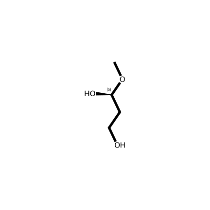 CO[C@H](O)CCO